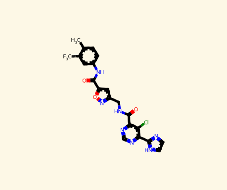 Cc1ccc(NC(=O)c2cc(CNC(=O)c3ncnc(-c4ncc[nH]4)c3Cl)no2)cc1C(F)(F)F